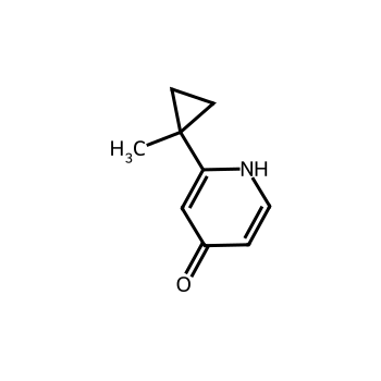 CC1(c2cc(=O)cc[nH]2)CC1